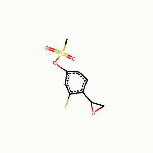 CS(=O)(=O)Oc1ccc(C2CO2)c(F)c1